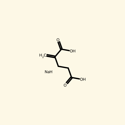 C=C(CCC(=O)O)C(=O)O.[NaH]